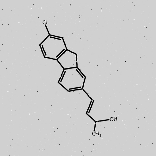 CC(O)/C=C/c1ccc2c(c1)Cc1cc(Cl)ccc1-2